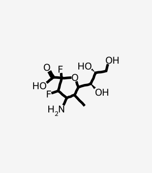 CC1C(N)C(F)C(F)(C(=O)O)OC1[C@H](O)[C@H](O)CO